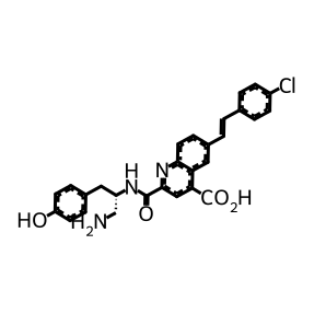 NC[C@H](Cc1ccc(O)cc1)NC(=O)c1cc(C(=O)O)c2cc(/C=C/c3ccc(Cl)cc3)ccc2n1